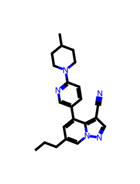 CCCc1cc(-c2ccc(N3CCC(C)CC3)nc2)c2c(C#N)cnn2c1